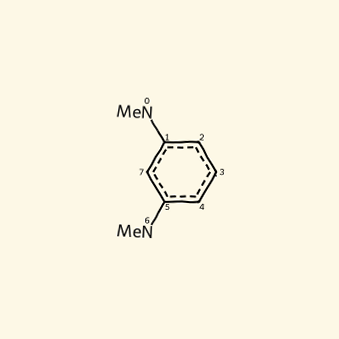 CNc1c[c]cc(NC)c1